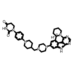 O=C1CCN(c2ccc(N3CCC(CN4CCN(c5cc6c7c(c5)[nH]c5ncnc(c57)N5CCCC[C@H]65)CC4)CC3)cc2)C(=O)N1